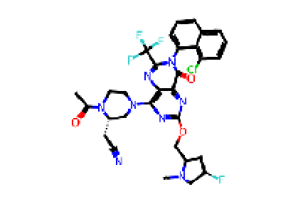 CC(=O)N1CCN(c2nc(OCC3C[C@@H](F)CN3C)nc3c(=O)n(-c4cccc5cccc(Cl)c45)c(C(F)(F)F)nc23)C[C@@H]1CC#N